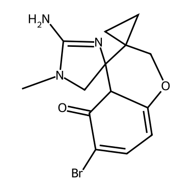 CN1CC2(N=C1N)C1C(=O)C(Br)=CC=C1OCC21CC1